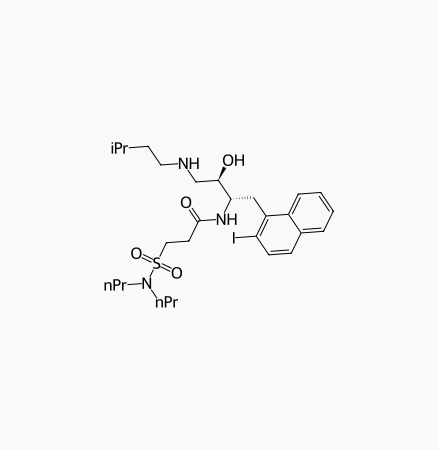 CCCN(CCC)S(=O)(=O)CCC(=O)N[C@@H](Cc1c(I)ccc2ccccc12)[C@H](O)CNCCC(C)C